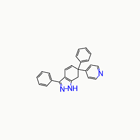 C1=CC(c2ccccc2)(c2ccncc2)Cc2[nH]nc(-c3ccccc3)c21